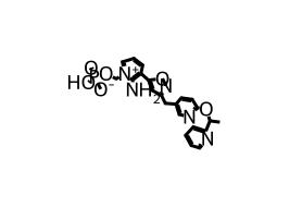 CC(Oc1ccc(Cc2cc(-c3ccc[n+](COP(=O)([O-])O)c3N)on2)cn1)c1ccccn1